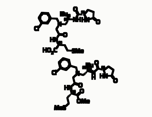 CC[C@H](C)[C@@H](CN(CC(=O)N[C@@H](CCSC)C(=O)O)Cc1cccc(Cl)c1)NC(=O)[C@@H]1CCC(=O)N1.CC[C@H](C)[C@@H](CN(CC(=O)N[C@@H](CCSC)C(=O)OC)Cc1cccc(Cl)c1)NC(=O)[C@@H]1CCC(=O)N1